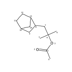 CC(=O)OC(C)(C)CC1CC2CCC1C2